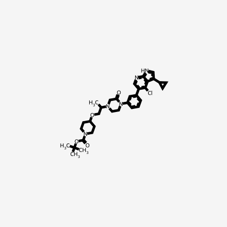 CC(COC1CCN(C(=O)OC(C)(C)C)CC1)N1CCN(c2cccc(-c3cnc4[nH]cc(C5CC5)c4c3Cl)c2)C(=O)C1